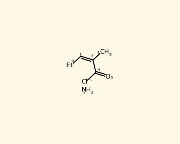 CCC=C(C)C(=O)Cl.N